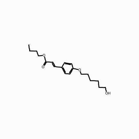 [CH2]CCCOC(=O)/C=C/c1ccc(OCCCCCCO)cc1